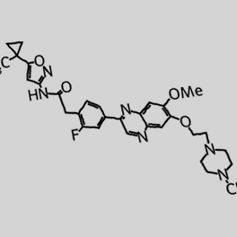 COc1cc2nc(-c3ccc(CC(=O)Nc4cc(C5(C(F)(F)F)CC5)on4)c(F)c3)cnc2cc1OCCN1CCN(C)CC1